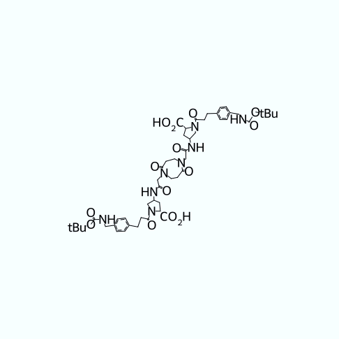 CC(C)(C)OC(=O)NCc1ccc(CCC(=O)N2CC(NC(=O)CN3CCC(=O)N(CC(=O)NC4CC(C(=O)O)N(C(=O)CCc5ccc(CNC(=O)OC(C)(C)C)cc5)C4)CCC3=O)CC2C(=O)O)cc1